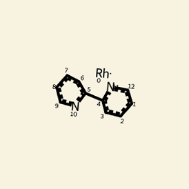 [Rh].c1ccc(-c2ccccn2)nc1